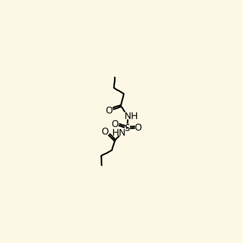 CCCC(=O)NS(=O)(=O)NC(=O)CCC